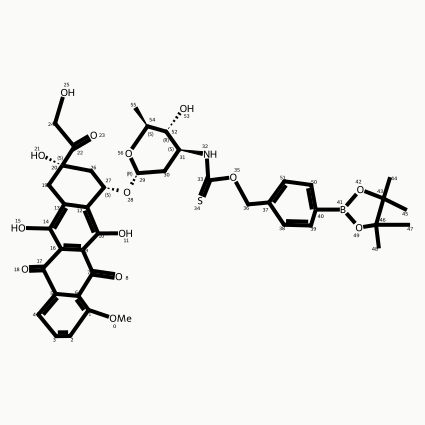 COc1cccc2c1C(=O)c1c(O)c3c(c(O)c1C2=O)C[C@@](O)(C(=O)CO)C[C@@H]3O[C@H]1C[C@H](NC(=S)OCc2ccc(B3OC(C)(C)C(C)(C)O3)cc2)[C@@H](O)[C@H](C)O1